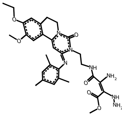 CCOc1cc2c(cc1OC)-c1c/c(=N\c3c(C)cc(C)cc3C)n(CCNC(=O)/C(N)=C(/NN)C(=O)OC)c(=O)n1CC2